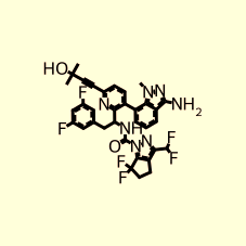 Cn1nc(N)c2cccc(-c3ccc(C#CC(C)(C)O)nc3C(Cc3cc(F)cc(F)c3)NC(=O)n3nc(C(F)F)c4c3C(F)(F)CC4)c21